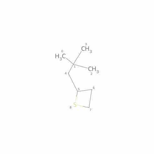 CC(C)(C)CC1CCS1